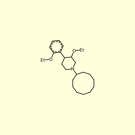 CCOc1ccccc1C1CCN(C2CCCCCCCCC2)CC1OCC